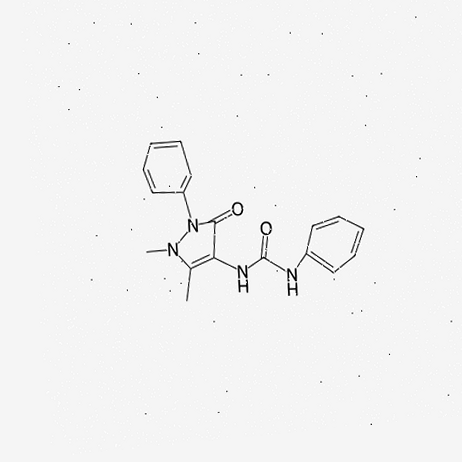 Cc1c(NC(=O)Nc2ccccc2)c(=O)n(-c2ccccc2)n1C